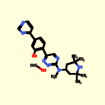 CN(c1ncc(-c2ccc(-c3ccncn3)cc2O)nn1)C1CC(C)(C)NC(C)(C)C1.O=CO